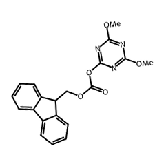 COc1nc(OC)nc(OC(=O)OCC2c3ccccc3-c3ccccc32)n1